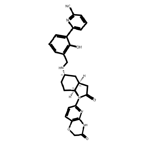 N#Cc1cccc(-c2cccc(CN[C@H]3CC[C@H]4[C@H](CC(=O)N4c4ccc5c(n4)NC(=O)CO5)C3)c2O)n1